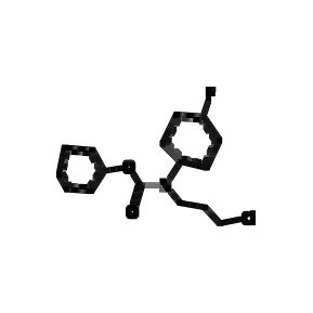 O=C(Oc1ccccc1)N(CCCCl)c1ccc(F)cc1